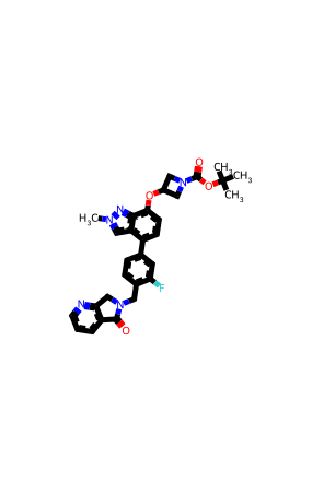 Cn1cc2c(-c3ccc(CN4Cc5ncccc5C4=O)c(F)c3)ccc(OC3CN(C(=O)OC(C)(C)C)C3)c2n1